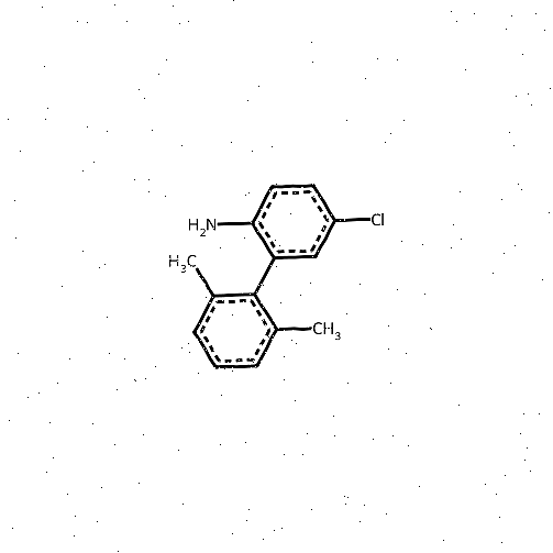 Cc1cccc(C)c1-c1cc(Cl)ccc1N